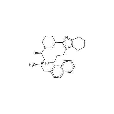 COCCCn1c([C@@H]2CCCN(C(=O)C[C@H](C)Cc3ccc4ccccc4c3)C2)nc2c1CCCC2